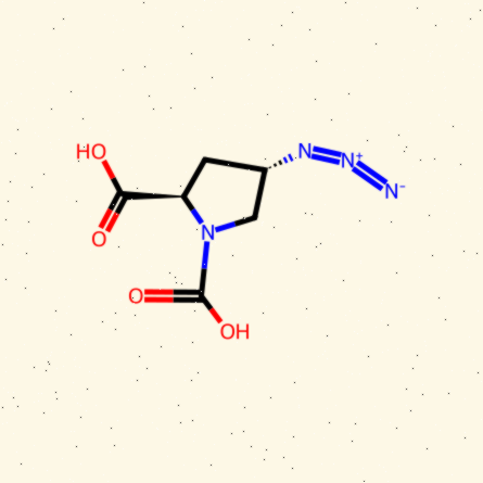 [N-]=[N+]=N[C@H]1C[C@H](C(=O)O)N(C(=O)O)C1